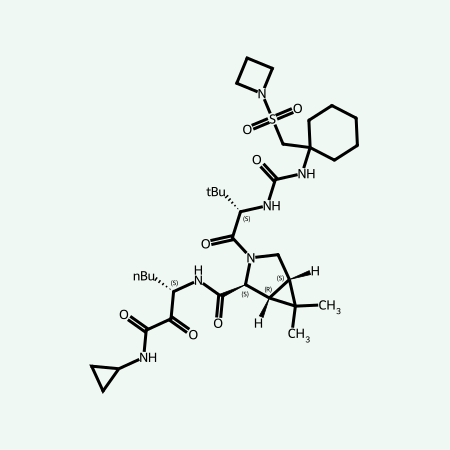 CCCC[C@H](NC(=O)[C@@H]1[C@@H]2[C@H](CN1C(=O)[C@@H](NC(=O)NC1(CS(=O)(=O)N3CCC3)CCCCC1)C(C)(C)C)C2(C)C)C(=O)C(=O)NC1CC1